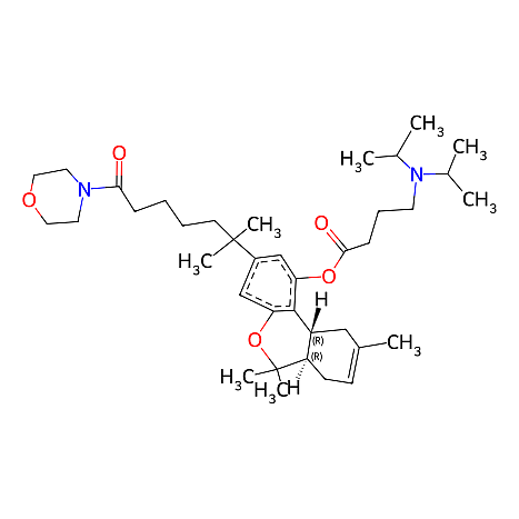 CC1=CC[C@@H]2[C@@H](C1)c1c(OC(=O)CCCN(C(C)C)C(C)C)cc(C(C)(C)CCCCC(=O)N3CCOCC3)cc1OC2(C)C